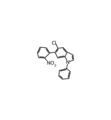 O=[N+]([O-])c1ccccc1-c1cc2c(ccn2-c2ccccc2)cc1Cl